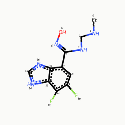 CCNCNC(=NO)c1cc(F)c(F)c2[nH]cnc12